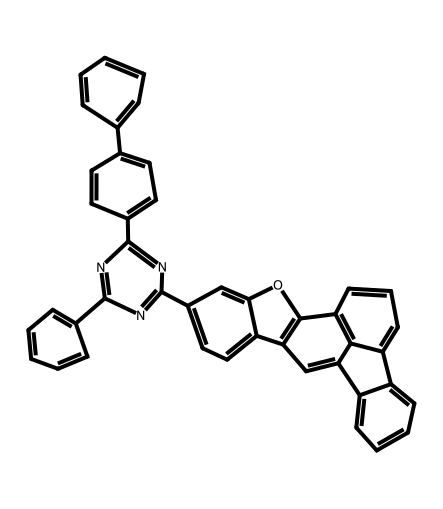 c1ccc(-c2ccc(-c3nc(-c4ccccc4)nc(-c4ccc5c(c4)oc4c6cccc7c6c(cc54)-c4ccccc4-7)n3)cc2)cc1